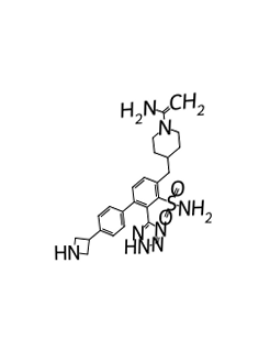 C=C(N)N1CCC(Cc2ccc(-c3ccc(C4CNC4)cc3)c(-c3nn[nH]n3)c2S(N)(=O)=O)CC1